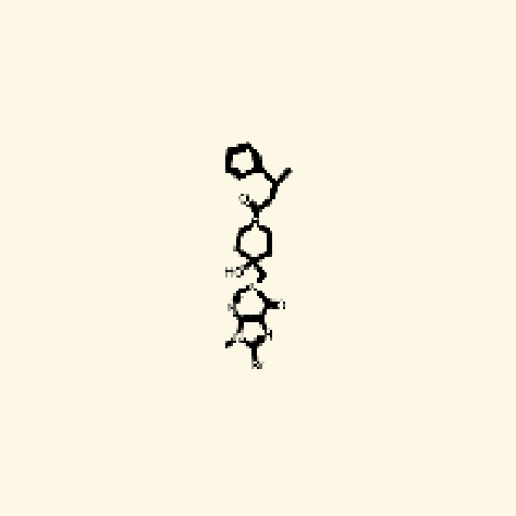 CC(CC(=O)N1CCC(O)(Cn2cnc3c(nc(Br)n3C)c2=O)CC1)c1ccccc1